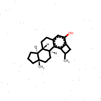 CC1Cc2c(O)cc3c(c21)[C@H]1CC[C@]2(C)CCC[C@H]2[C@@H]1CC3